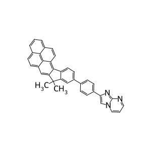 CC1(C)c2cc(-c3ccc(-c4cn5cccnc5n4)cc3)ccc2-c2c1cc1ccc3cccc4ccc2c1c34